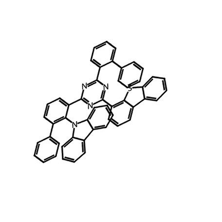 c1ccc(-c2ccccc2-c2nc(-c3cccc(-c4ccccc4)c3-n3c4ccccc4c4ccccc43)nc(-c3cccc4c3sc3ccccc34)n2)cc1